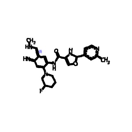 CN/C=C1/C=C(NC(=O)C2=COC(c3ccnc(C)c3)N2)C(N2CCCC(F)C2)=CC1=N